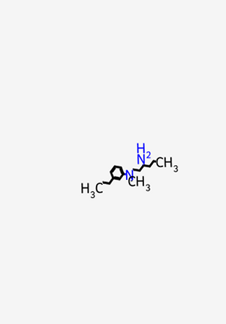 CCCc1cccc(N(C)CCC(N)CCC)c1